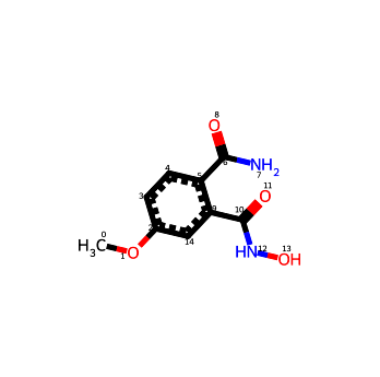 COc1ccc(C(N)=O)c(C(=O)NO)c1